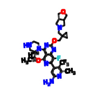 Cc1nc(N)cc(-c2nc3c4c(nc(OCC5(CN6CC7COCC7C6)CC5)nc4c2F)N2CCNC[C@H]2[C@H](C)O3)c1C(F)(F)F